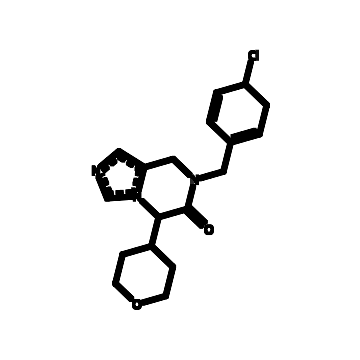 O=C1C(C2CCOCC2)n2cncc2CN1CC1=CCC(Cl)C=C1